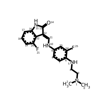 CN(C)CCNc1ccc(N/C=C2/C(=O)Nc3cccc(F)c32)cc1F